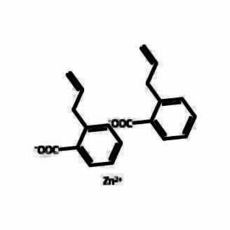 C=CCc1ccccc1C(=O)[O-].C=CCc1ccccc1C(=O)[O-].[Zn+2]